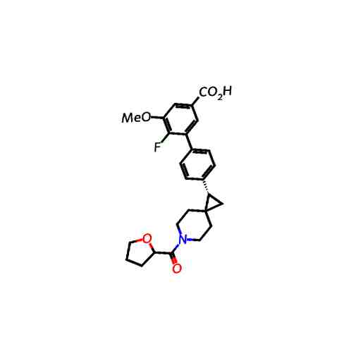 COc1cc(C(=O)O)cc(-c2ccc([C@@H]3CC34CCN(C(=O)C3CCCO3)CC4)cc2)c1F